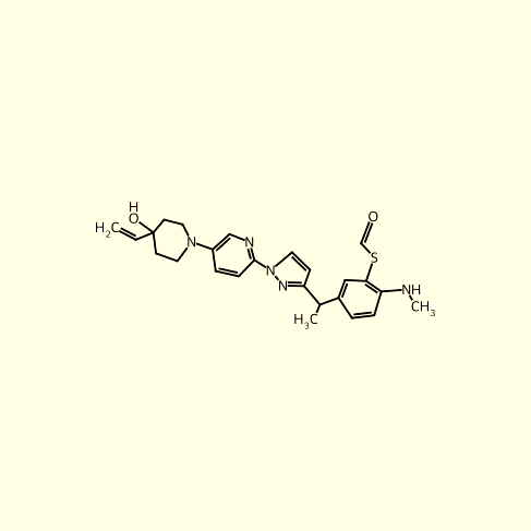 C=CC1(O)CCN(c2ccc(-n3ccc(C(C)c4ccc(NC)c(SC=O)c4)n3)nc2)CC1